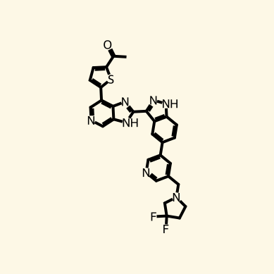 CC(=O)c1ccc(-c2cncc3[nH]c(-c4n[nH]c5ccc(-c6cncc(CN7CCC(F)(F)C7)c6)cc45)nc23)s1